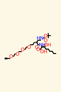 C#CCOCCOCCOCCOCCC[C@@H](CCNC(=O)OC(C)(C)C)C(=O)N[C@H](C(=O)O)[C@H](O)CCCCCC